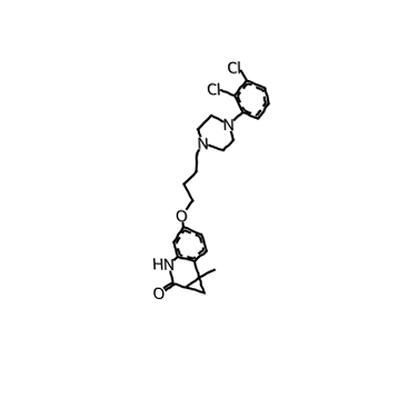 CC12CC1C(=O)Nc1cc(OCCCCN3CCN(c4cccc(Cl)c4Cl)CC3)ccc12